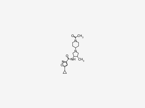 CC(=O)N1CCC(N2CC(C)C(NC(=O)c3cc(C4CC4)on3)C2)CC1